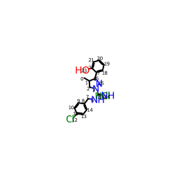 CC1CN(C(=N)NCc2ccc(Cl)cc2)N=C1c1ccccc1O.Cl